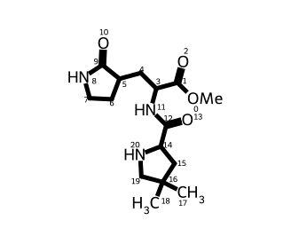 COC(=O)C(CC1CCNC1=O)NC(=O)C1CC(C)(C)CN1